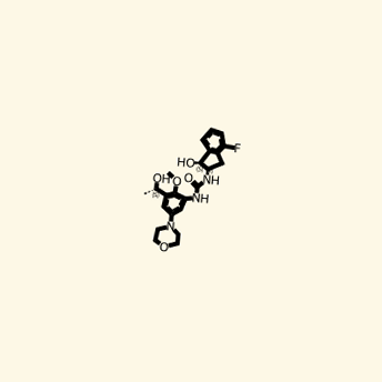 COc1c(NC(=O)N[C@@H]2Cc3c(F)cccc3[C@@H]2O)cc(N2CCOCC2)cc1[C@H](C)O